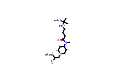 CCCCCCC(C)(C)NCCCC(=O)N(C)C1CCN(CC(CC)CCCCC)CC1